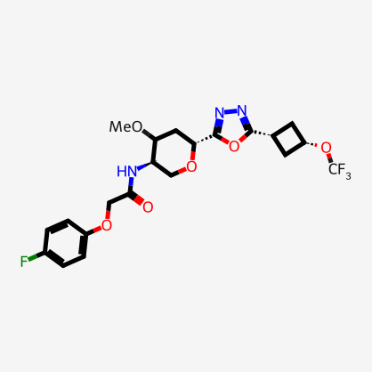 COC1C[C@H](c2nnc([C@H]3C[C@@H](OC(F)(F)F)C3)o2)OC[C@H]1NC(=O)COc1ccc(F)cc1